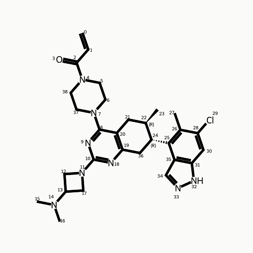 C=CC(=O)N1CCN(c2nc(N3CC(N(C)C)C3)nc3c2C[C@@H](C)[C@H](c2c(C)c(Cl)cc4[nH]ncc24)C3)CC1